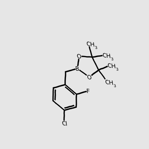 CC1(C)OB(Cc2ccc(Cl)cc2F)OC1(C)C